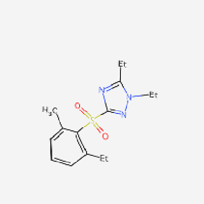 CCc1cccc(C)c1S(=O)(=O)c1nc(CC)n(CC)n1